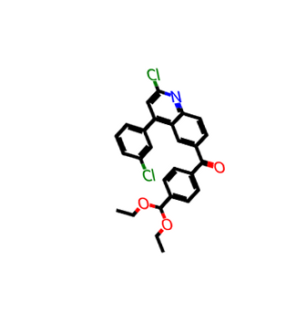 CCOC(OCC)c1ccc(C(=O)c2ccc3nc(Cl)cc(-c4cccc(Cl)c4)c3c2)cc1